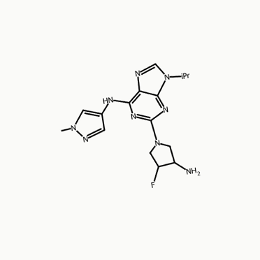 CC(C)n1cnc2c(Nc3cnn(C)c3)nc(N3CC(N)C(F)C3)nc21